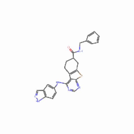 O=C(NCc1ccccc1)C1CCc2c(sc3ncnc(Nc4ccc5[nH]ncc5c4)c23)C1